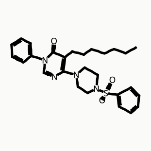 CCCCCCCc1c(N2CCN(S(=O)(=O)c3ccccc3)CC2)ncn(-c2ccccc2)c1=O